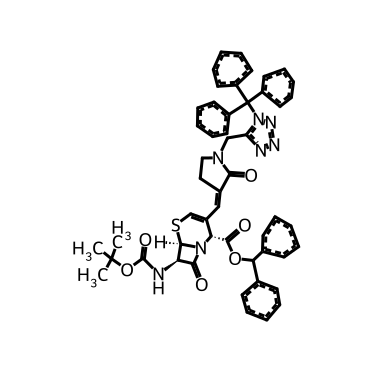 CC(C)(C)OC(=O)N[C@@H]1C(=O)N2[C@@H](C(=O)OC(c3ccccc3)c3ccccc3)C(/C=C3\CCN(Cc4nnnn4C(c4ccccc4)(c4ccccc4)c4ccccc4)C3=O)=CS[C@H]12